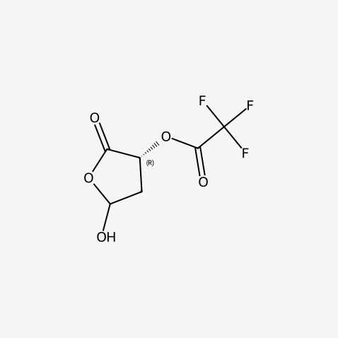 O=C1OC(O)C[C@H]1OC(=O)C(F)(F)F